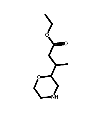 CCOC(=O)CC(C)C1CNCCO1